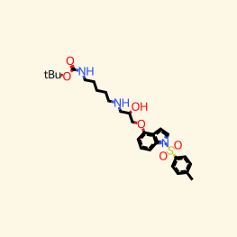 Cc1ccc(S(=O)(=O)n2ccc3c(OCC(O)CNCCCCCNC(=O)OC(C)(C)C)cccc32)cc1